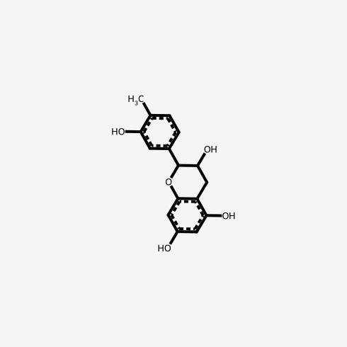 Cc1ccc(C2Oc3cc(O)cc(O)c3CC2O)cc1O